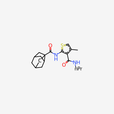 CCCNC(=O)c1c(C)csc1NC(=O)C12CC3CC(CC1C3)C2